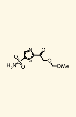 COCOCC(=O)c1ncc(S(N)(=O)=O)s1